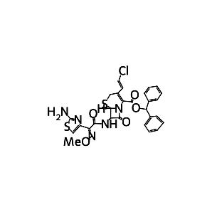 CON=C(C(=O)NC1C(=O)N2C(C(=O)OC(c3ccccc3)c3ccccc3)=C(/C=C/Cl)CS[C@@H]12)c1csc(N)n1